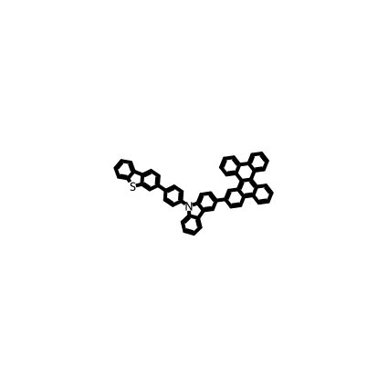 c1ccc2c(c1)sc1cc(-c3ccc(-n4c5ccccc5c5cc(-c6ccc7c8ccccc8c8c9ccccc9c9ccccc9c8c7c6)ccc54)cc3)ccc12